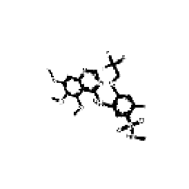 CNS(=O)(=O)c1cc(Nc2ncnc3cc(OC)c(OC)c(OC)c23)c(OCC(F)(F)F)cc1F